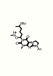 CC(=O)N1CCn2c1nc1c2c(=O)n(C(CCCC(C)C(C)(C)C)O[SiH](C)C)c(=O)n1C